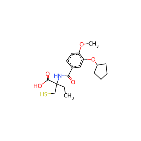 CCC(CS)(NC(=O)c1ccc(OC)c(OC2CCCC2)c1)C(=O)O